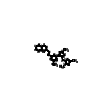 Cc1nc(OCc2ccc3ccccc3n2)cc(-n2nc(C)nc2Cc2nc(C)sc2C)n1